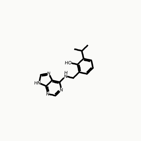 CC(C)c1cccc(CNc2ncnc3[nH]cnc23)c1O